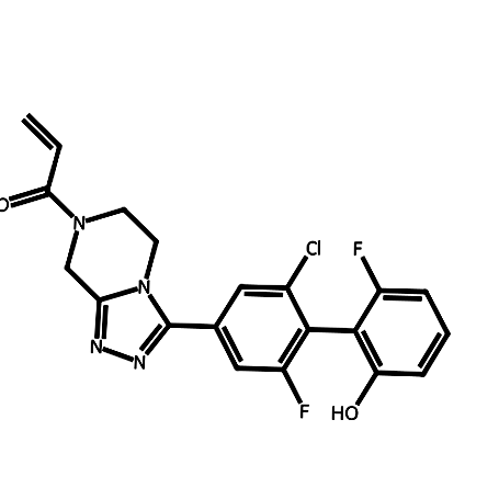 C=CC(=O)N1CCn2c(nnc2-c2cc(F)c(-c3c(O)cccc3F)c(Cl)c2)C1